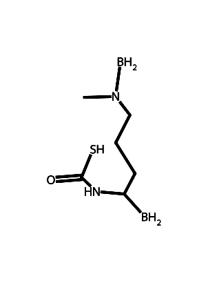 BC(CCCN(B)C)NC(=O)S